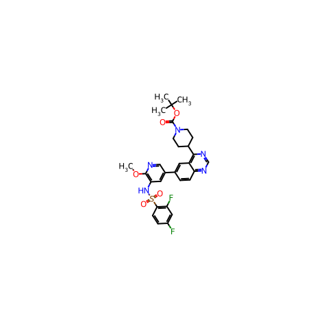 COc1ncc(-c2ccc3ncnc(C4CCN(C(=O)OC(C)(C)C)CC4)c3c2)cc1NS(=O)(=O)c1ccc(F)cc1F